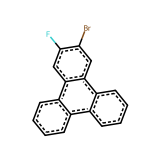 Fc1cc2c3ccccc3c3ccccc3c2cc1Br